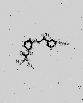 COc1cccc(C(C)COc2cccc(NC(=O)N(C)OC)c2)c1